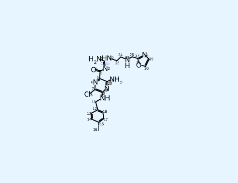 N/C(=N\C(=O)c1nc(Cl)c(NCc2ccc(I)cc2)nc1N)NCCNCc1ncco1